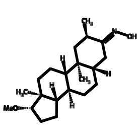 CO[C@H]1CC[C@H]2[C@@H]3CC[C@H]4CC(=NO)[C@H](C)C[C@]4(C)[C@H]3CC[C@]12C